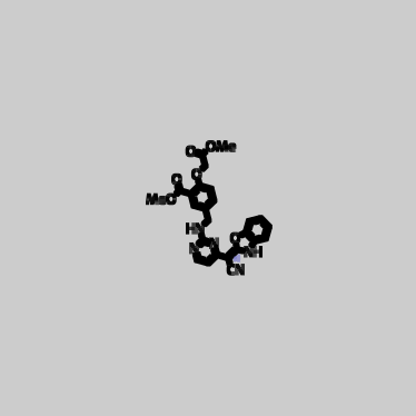 COC(=O)COc1ccc(CNc2nccc(/C(C#N)=C3/Nc4ccccc4O3)n2)cc1C(=O)OC